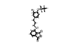 CC(C)(C)[Si](C)(C)Oc1ccc(CCCNc2cccc3c2C(=O)NC3=O)cc1F